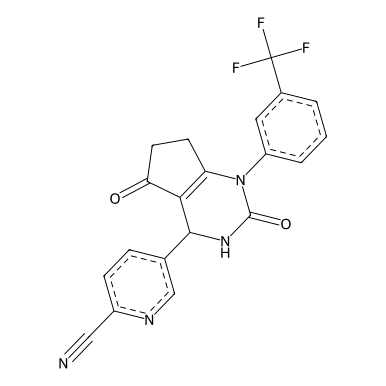 N#Cc1ccc(C2NC(=O)N(c3cccc(C(F)(F)F)c3)C3=C2C(=O)CC3)cn1